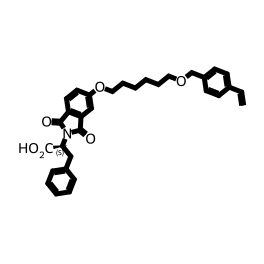 C=Cc1ccc(COCCCCCCOc2ccc3c(c2)C(=O)N([C@@H](Cc2ccccc2)C(=O)O)C3=O)cc1